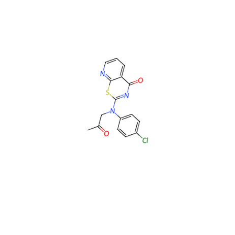 CC(=O)CN(c1ccc(Cl)cc1)c1nc(=O)c2cccnc2s1